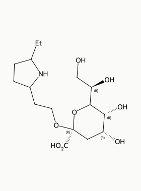 CCC1CCC(CCO[C@]2(C(=O)O)C[C@@H](O)[C@@H](O)C([C@H](O)CO)O2)N1